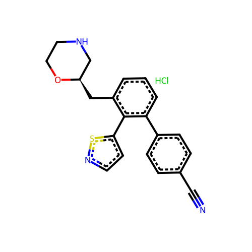 Cl.N#Cc1ccc(-c2cccc(C[C@@H]3CNCCO3)c2-c2ccns2)cc1